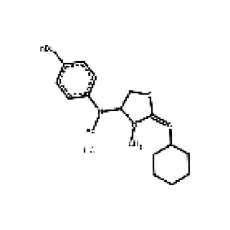 CCCCc1ccc(N(C(C)=O)C2CSC(=NC3CCCCC3)N2C)cc1.Cl